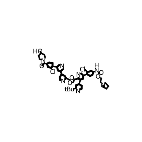 CC(C)(C)c1cc(-c2cc(-c3ccc(NC(=O)OCCN4CCCC4)cc3Cl)cnc2C2COC(c3cc(-c4cncc(-c5ccc(C(=O)N6CCC(O)CC6)cc5Cl)c4)ccn3)O2)ccn1